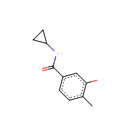 Cc1ccc(C(=O)NC2CC2)cc1O